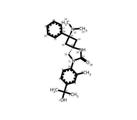 Cc1cc(C(C)(C)O)ccc1N1C[C@]2(C[C@](c3ccccc3)(N(C)C)C2)NC1=O